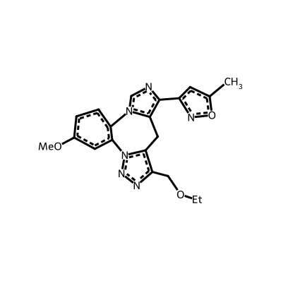 CCOCc1nnn2c1Cc1c(-c3cc(C)on3)ncn1-c1ccc(OC)cc1-2